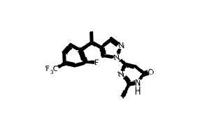 Cc1nc(-n2cc(C(C)c3ccc(C(F)(F)F)cc3F)cn2)cc(=O)[nH]1